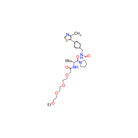 CCOCCOCCOCCOCC(=O)N[C@H](C(=O)N1CCC[C@H]1C(=O)NCc1ccc(-c2scnc2C)cc1)C(C)(C)C